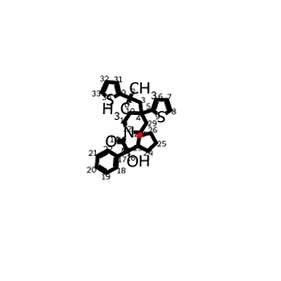 CC(C)(CC1(c2cccs2)CCN(C(=O)[C@](O)(c2ccccc2)C2CCCC2)CC1)c1cccs1